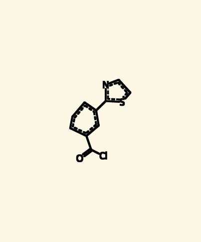 O=C(Cl)c1cccc(-c2nccs2)c1